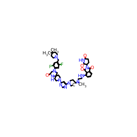 CN(CCNc1cccc2c1C(=O)N(C1CCC(=O)NC1=O)C2=O)C1CCN(c2cc(N3CCC4(CC3)CN(c3cc(F)c(CN5CCC(C)(C)CC5)cc3F)CC(=O)N4)ncn2)CC1